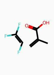 C=C(C)C(=O)O.FC=C(F)F